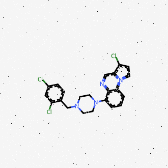 Clc1ccc(CN2CCN(c3cccc4c3ncc3c(Cl)ccn34)CC2)c(Cl)c1